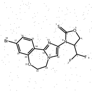 FC(F)C1COC(=S)N1c1cn2c(n1)-c1ccc(Br)cc1OCC2